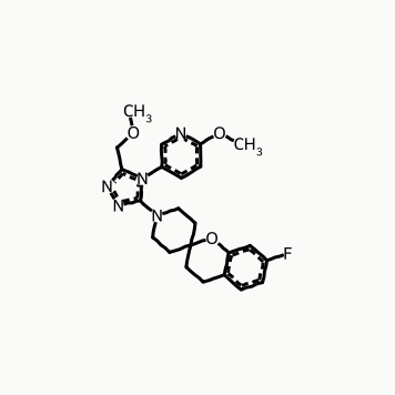 COCc1nnc(N2CCC3(CCc4ccc(F)cc4O3)CC2)n1-c1ccc(OC)nc1